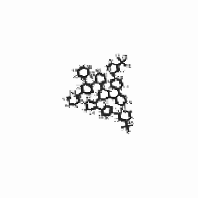 CC(C)(C)c1ccnc(-c2ccc(-c3ccccc3C3CC(c4ccccc4-c4ccc(-c5cc(C(C)(C)C)ccn5)cc4)CC(c4ccccc4-c4ccc(-c5ccccn5)cc4-c4ccccc4)C3)cc2)c1